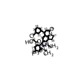 C=CN(C)/C(=N\N)C(OCCO)(c1ccc(F)cc1)c1cc2c3c(c1)c(-c1cccc(Cl)c1)cc(=O)n3CC2